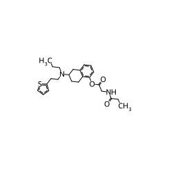 CCCN(CCc1cccs1)C1CCc2c(cccc2OC(=O)CNC(=O)CC)C1